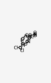 CS(=O)(=O)CCCN1CCN(c2ccc(Oc3cc(CN4CCC(CNC(=O)O)CC4)cc(-c4cc(Cl)cc(Cl)c4)n3)cn2)CC1